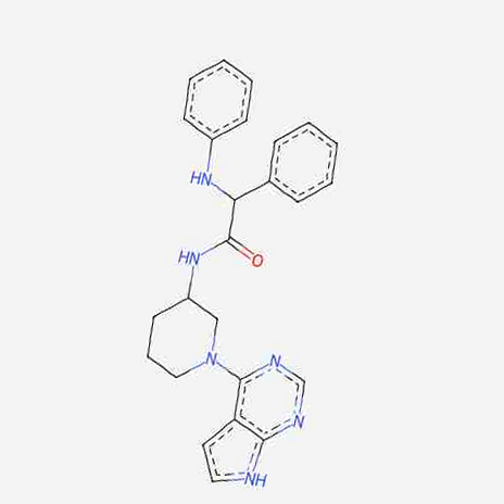 O=C(NC1CCCN(c2ncnc3[nH]ccc23)C1)C(Nc1ccccc1)c1ccccc1